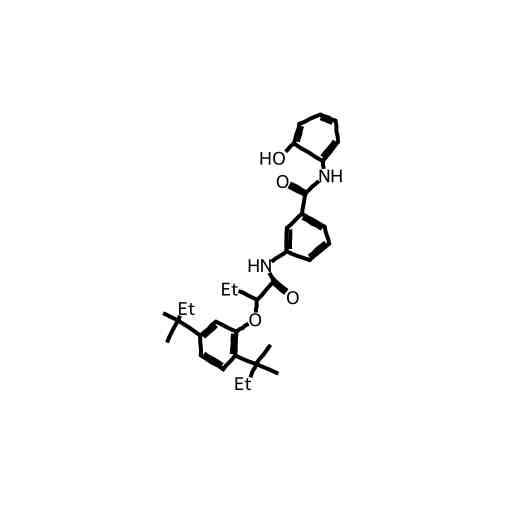 CCC(Oc1cc(C(C)(C)CC)ccc1C(C)(C)CC)C(=O)Nc1cccc(C(=O)Nc2ccccc2O)c1